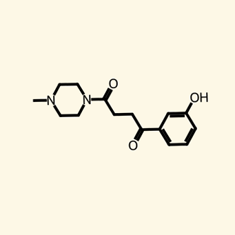 CN1CCN(C(=O)CCC(=O)c2cccc(O)c2)CC1